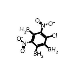 Bc1c(B)c([N+](=O)[O-])c(B)c([N+](=O)[O-])c1Cl